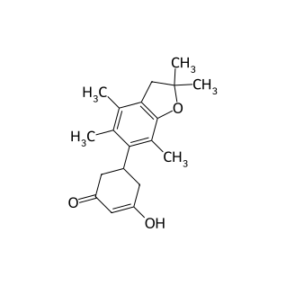 Cc1c(C)c(C2CC(=O)C=C(O)C2)c(C)c2c1CC(C)(C)O2